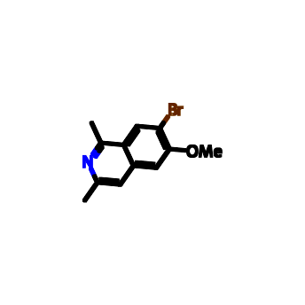 COc1cc2cc(C)nc(C)c2cc1Br